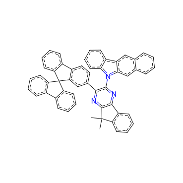 CC1(C)c2ccccc2-c2nc(-n3c4ccccc4c4cc5ccccc5cc43)c(-c3ccc4c(c3)C3(c5ccccc5-c5ccccc53)c3ccccc3-4)nc21